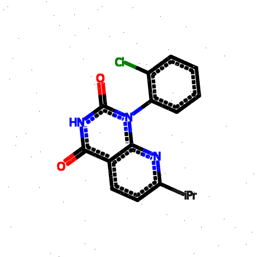 CC(C)c1ccc2c(=O)[nH]c(=O)n(-c3ccccc3Cl)c2n1